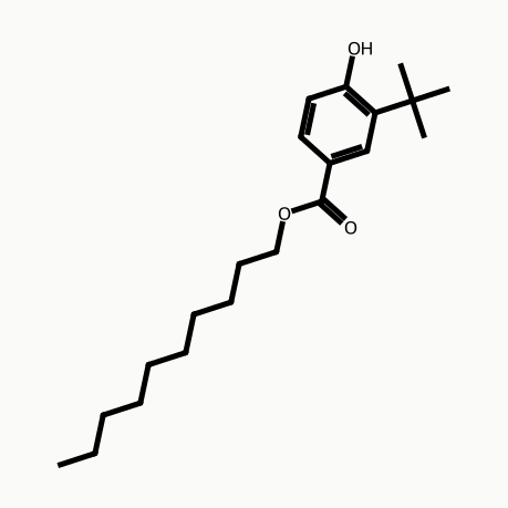 CCCCCCCCCCOC(=O)c1ccc(O)c(C(C)(C)C)c1